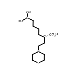 O=C(O)[C@@H](CCCCB(O)O)CCN1CCSCC1